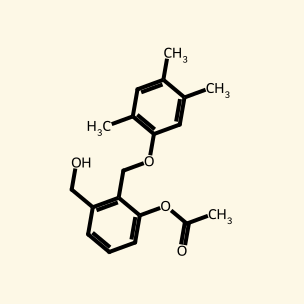 CC(=O)Oc1cccc(CO)c1COc1cc(C)c(C)cc1C